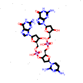 NC1=NC(N)N([C@H]2CC(OP(=O)(O)OC[C@H]3O[C@@H](n4cnc5c(=O)[nH]c(N)nc54)CC3O)[C@@H](COP(=O)(O)OC[C@H]3O[C@@H](n4cnc5c(=O)[nH]c(N)nc54)CC3O)O2)C=C1